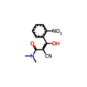 CN(C)C(=O)C(C#N)=C(O)c1ccccc1[N+](=O)[O-]